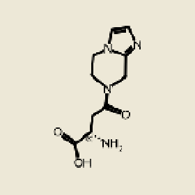 N[C@@H](CC(=O)N1CCn2ccnc2C1)C(=O)O